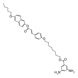 CCCCCOc1ccc2cc(OC(=O)/C=C/c3ccc(OCCCCCCCCOC(=O)c4cc(N)cc(N)c4)cc3)ccc2c1